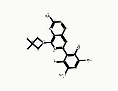 COc1cc(OC)c(Cl)c(-c2cc3cnc(N)nc3c(N3CC(C)(C)C3)n2)c1Cl